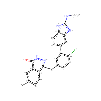 CCOC(=O)Nc1nc2cc(-c3cc(Cc4n[nH]c(=O)c5cc(C)ccc45)ccc3F)ccc2[nH]1